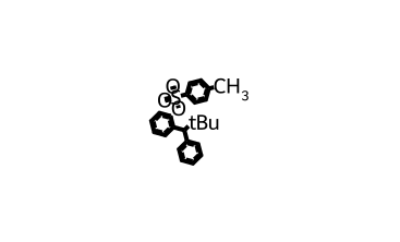 Cc1ccc(S(=O)(=O)Oc2ccccc2C(c2ccccc2)C(C)(C)C)cc1